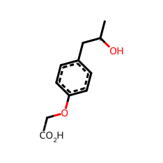 C[C](O)Cc1ccc(OCC(=O)O)cc1